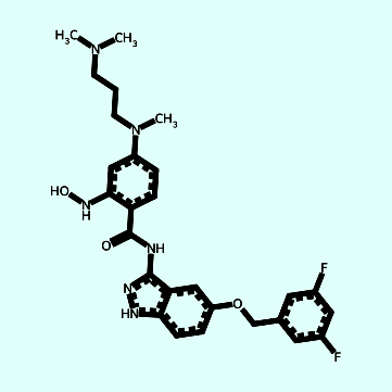 CN(C)CCCN(C)c1ccc(C(=O)Nc2n[nH]c3ccc(OCc4cc(F)cc(F)c4)cc23)c(NO)c1